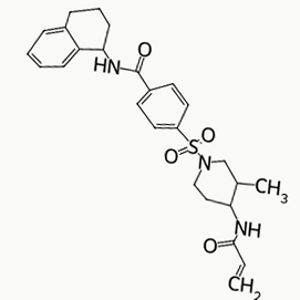 C=CC(=O)NC1CCN(S(=O)(=O)c2ccc(C(=O)NC3CCCc4ccccc43)cc2)CC1C